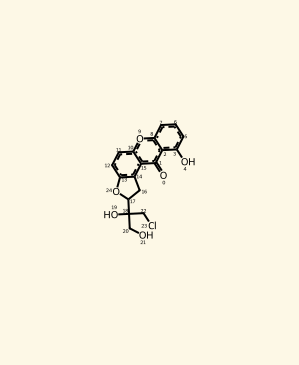 O=c1c2c(O)cccc2oc2ccc3c(c12)CC(C(O)(CO)CCl)O3